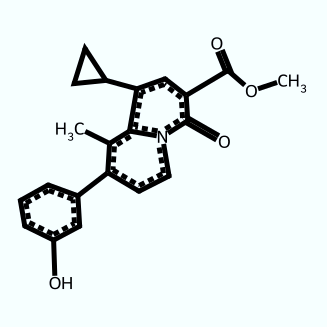 COC(=O)c1cc(C2CC2)c2c(C)c(-c3cccc(O)c3)ccn2c1=O